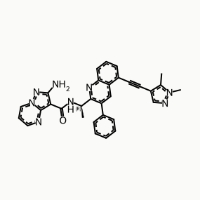 Cc1c(C#Cc2cccc3nc([C@@H](C)NC(=O)c4c(N)nn5cccnc45)c(-c4ccccc4)cc23)cnn1C